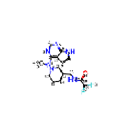 CN(c1ncnc2[nH]ccc12)N1CCCC(CNC(=O)C(F)F)C1